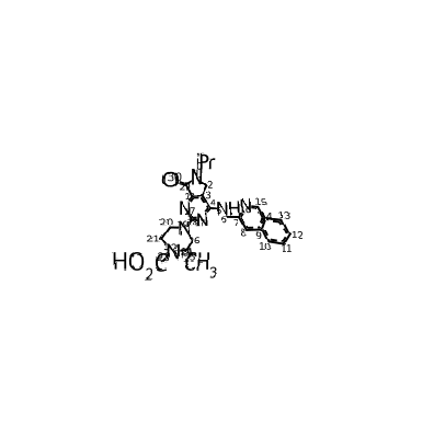 CC(C)N1Cc2c(NCc3cc4ccccc4cn3)nc(N3CCN(C(=O)O)[C@@H](C)C3)nc2C1=O